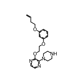 C=CCCOc1cccc(OCCOc2nccnc2N2CCNCC2)c1